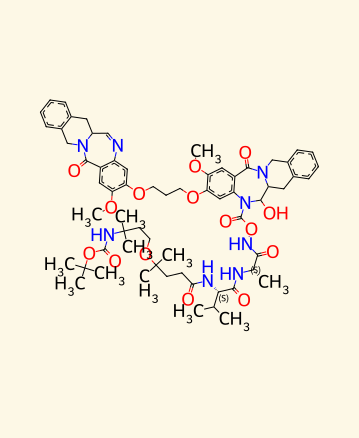 COc1cc2c(cc1OCCCOc1cc3c(cc1OC)C(=O)N1Cc4ccccc4CC1C(O)N3C(=O)ONC(=O)[C@H](C)NC(=O)[C@@H](NC(=O)CCC(C)(C)OCCC(C)(C)NC(=O)OC(C)(C)C)C(C)C)N=CC1Cc3ccccc3CN1C2=O